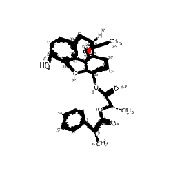 C[C@H](OC(=O)[C@@H](C)c1ccccc1)C(=O)OC1=CC[C@@]2(O)[C@H]3Cc4ccc(O)c5c4C2(CCN3C)C1O5